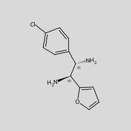 N[C@H](c1ccco1)[C@@H](N)c1ccc(Cl)cc1